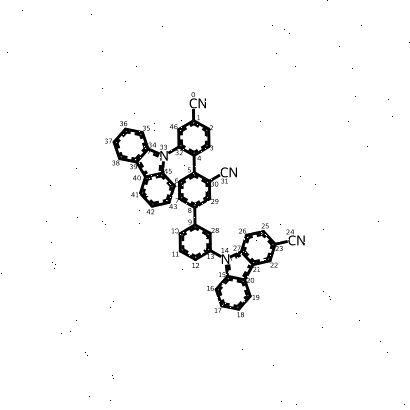 N#Cc1ccc(-c2ccc(-c3cccc(-n4c5ccccc5c5cc(C#N)ccc54)c3)cc2C#N)c(-n2c3ccccc3c3ccccc32)c1